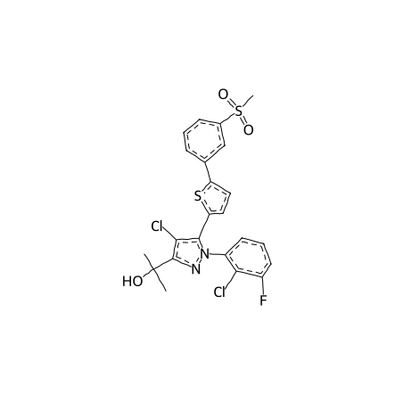 CC(C)(O)c1nn(-c2cccc(F)c2Cl)c(-c2ccc(-c3cccc(S(C)(=O)=O)c3)s2)c1Cl